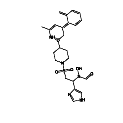 C=c1cccc/c1=C(/C=C(/C)N)COC1CCN(S(=O)(=O)CC(c2c[nH]cn2)N(O)C=O)CC1